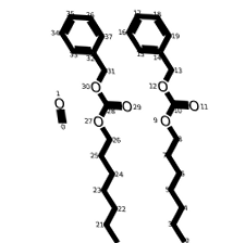 C=O.CCCCCCCOC(=O)OCc1ccccc1.CCCCCCCOC(=O)OCc1ccccc1